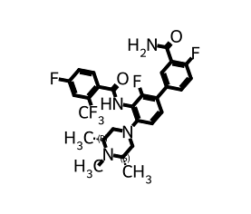 C[C@@H]1CN(c2ccc(-c3ccc(F)c(C(N)=O)c3)c(F)c2NC(=O)c2ccc(F)cc2C(F)(F)F)C[C@H](C)N1C